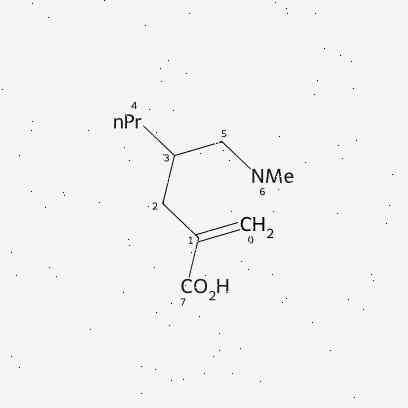 C=C(CC(CCC)CNC)C(=O)O